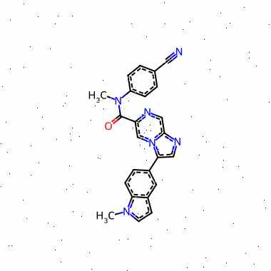 CN(C(=O)c1cn2c(-c3ccc4c(ccn4C)c3)cnc2cn1)c1ccc(C#N)cc1